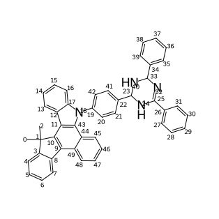 CC1(C)c2ccccc2-c2c1c1c3ccccc3n(-c3ccc(C4NC(c5ccccc5)=NC(c5ccccc5)N4)cc3)c1c1ccccc21